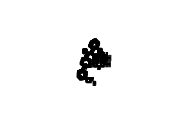 [2H]C([2H])(C(=O)O)C([2H])([2H])C(=O)N[C@@H](C(=O)N1CCN(c2cccc(C(F)(F)F)c2)CC1)c1ccccc1